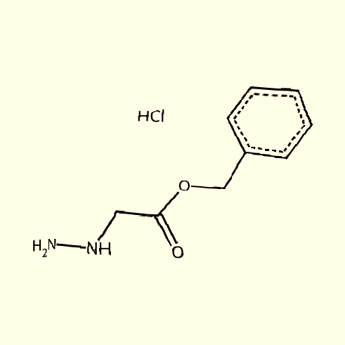 Cl.NNCC(=O)OCc1ccccc1